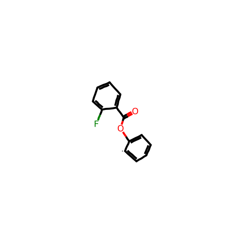 O=C(Oc1[c]cccc1)c1ccccc1F